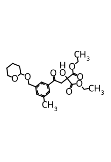 CCOC(=O)C(O)(CC(=O)c1cc(C)cc(COC2CCCCO2)c1)C(=O)OCC